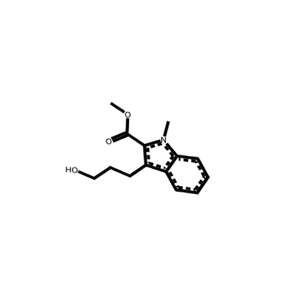 COC(=O)c1c(CCCO)c2ccccc2n1C